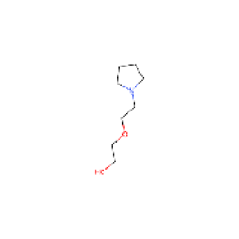 OCCOCCN1CCCC1